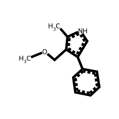 COCc1c(-c2ccccc2)c[nH]c1C